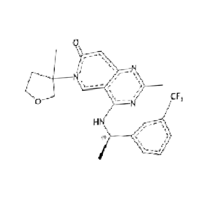 Cc1nc(N[C@H](C)c2cccc(C(F)(F)F)c2)c2cn(C3(C)CCOC3)c(=O)cc2n1